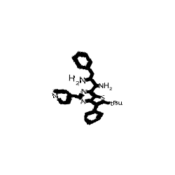 CC(C)(C)c1sc2c(C(N)C(N)Cc3ccccc3)nc(-c3ccncc3)nc2c1-c1ccccc1